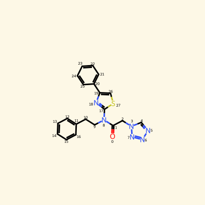 O=C(Cn1cnnn1)N(CCc1ccccc1)c1nc(-c2ccccc2)cs1